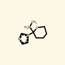 C[SiH2]C1(n2ccnc2)CCCCO1